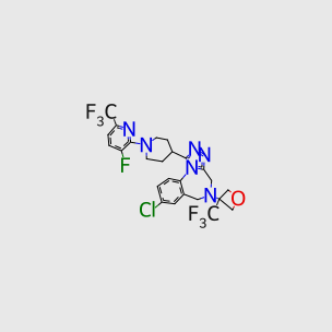 Fc1ccc(C(F)(F)F)nc1N1CCC(c2nnc3n2-c2ccc(Cl)cc2CN(C2(C(F)(F)F)COC2)C3)CC1